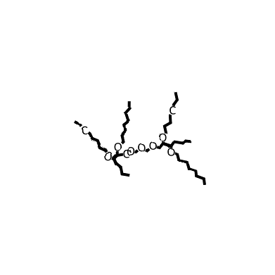 CCCCCCCCOC(CCCC)=C(COCOCOCC(OCCCCCCCC)=C(CCCC)OCCCCCCCC)OCCCCCCCC